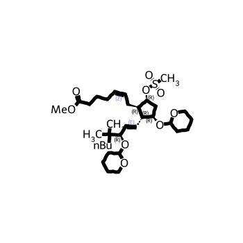 CCCCC(C)(C)[C@@H](/C=C/[C@@H]1[C@@H](C/C=C\CCCC(=O)OC)[C@H](OS(C)(=O)=O)C[C@H]1OC1CCCCO1)OC1CCCCO1